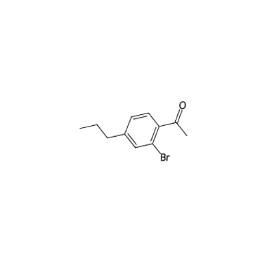 CCCc1ccc(C(C)=O)c(Br)c1